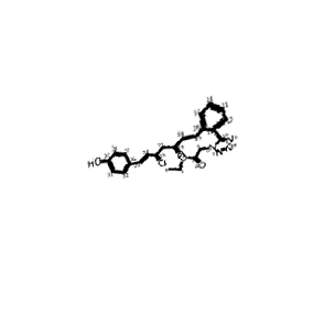 CCOC(=O)Cn1nnnc1-c1ccccc1C=CC(=O)CC(=O)C=Cc1ccc(O)cc1